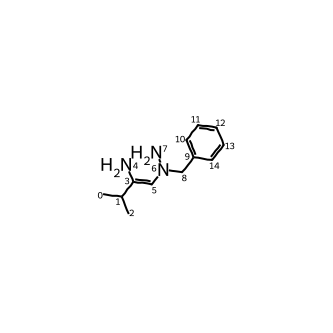 CC(C)/C(N)=C/N(N)Cc1ccccc1